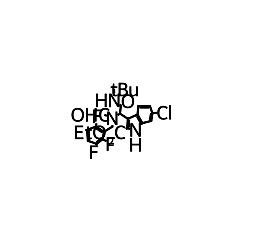 CCOC(=O)c1[nH]c2cc(Cl)ccc2c1C(C(=O)NC(C)(C)C)N(C=O)Cc1c(F)ccc(F)c1F